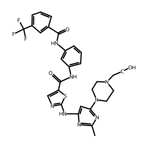 Cc1nc(Nc2ncc(C(=O)Nc3cccc(NC(=O)c4cccc(C(F)(F)F)c4)c3)s2)cc(N2CCN(CCO)CC2)n1